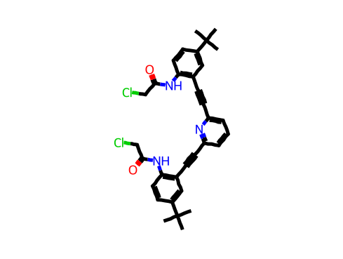 CC(C)(C)c1ccc(NC(=O)CCl)c(C#Cc2cccc(C#Cc3cc(C(C)(C)C)ccc3NC(=O)CCl)n2)c1